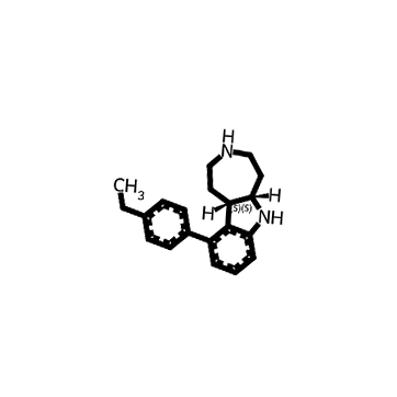 CCc1ccc(-c2cccc3c2[C@@H]2CCNCC[C@@H]2N3)cc1